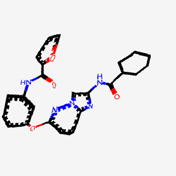 O=C(Nc1cccc(Oc2ccc3nc(NC(=O)C4CCCCC4)cn3n2)c1)c1ccco1